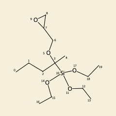 CCCC(C)(OCC1CO1)[Si](OCC)(OCC)OCC